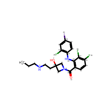 CCCNCCC1(O)CN(C(=O)c2ccc(F)c(F)c2Nc2ccc(I)cc2F)C1